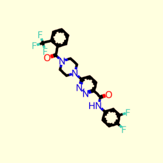 O=C(Nc1ccc(F)c(F)c1)c1ccc(N2CCN(C(=O)c3ccccc3C(F)(F)F)CC2)nn1